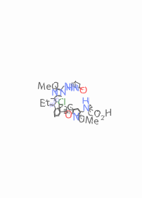 CC/C=C(\C(Cl)=C(/C)c1cnc(CNC[C@@H]2CCC(=O)N2)c(OC)n1)c1cccc2c1CC[C@@H]2Oc1nc(OC)c(CNC2(C(=O)O)CC2)cc1C(F)(F)F